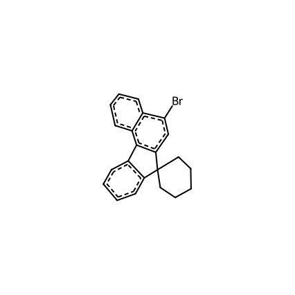 Brc1cc2c(c3ccccc13)-c1ccccc1C21CCCCC1